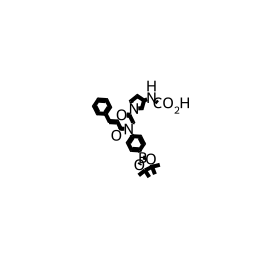 CC1(C)OB(c2ccc(N(CC(=O)N3CCC(NC(=O)O)C3)C(=O)C=Cc3ccccc3)cc2)OC1(C)C